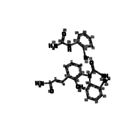 NC(=O)C=Cc1cccc(N(C(N)=O)c2ccccc2Br)c1O.NC(=O)Nc1ccccc1Br